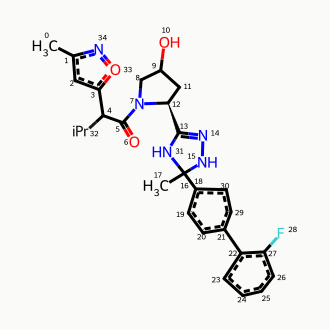 Cc1cc(C(C(=O)N2CC(O)C[C@H]2C2=NNC(C)(c3ccc(-c4ccccc4F)cc3)N2)C(C)C)on1